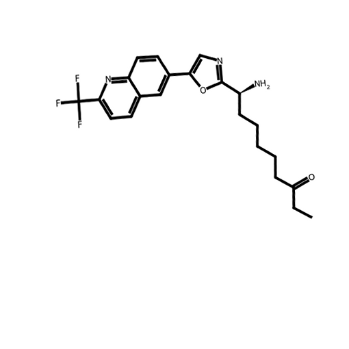 CCC(=O)CCCCC[C@H](N)c1ncc(-c2ccc3nc(C(F)(F)F)ccc3c2)o1